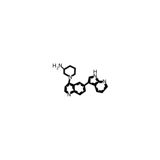 N[C@H]1CCCN(c2ccnc3ccc(-c4c[nH]c5ncccc45)cc23)C1